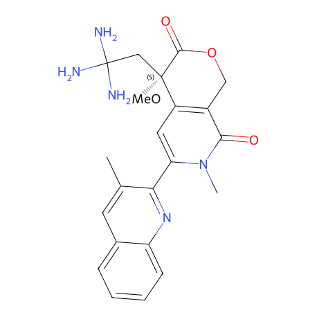 CO[C@]1(CC(N)(N)N)C(=O)OCc2c1cc(-c1nc3ccccc3cc1C)n(C)c2=O